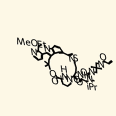 C=CC(=O)N1CC2(C1)CN(C(=O)N(C)C(C(=O)N[C@H]1Cc3nc(cs3)-c3ccc4c(c3)c(c(-c3cccnc3[C@H](C)OC)n4CC)CC(C)(C)COC(=O)[C@@H]3CCCN(N3)C1=O)C(C)C)C2